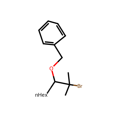 CCCC[CH]CC(OCc1ccccc1)C(C)(C)Br